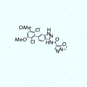 COc1cc(OC)c(Cl)c(-c2ccc3c(NC(=O)c4cnn5c4OCC5)n[nH]c3c2)c1Cl